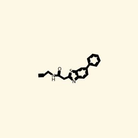 C#CCNC(=O)Cc1nc2ccc(-c3ccccc3)cc2s1